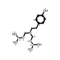 Oc1ccc(CCN(COP(O)O)COP(O)O)cc1